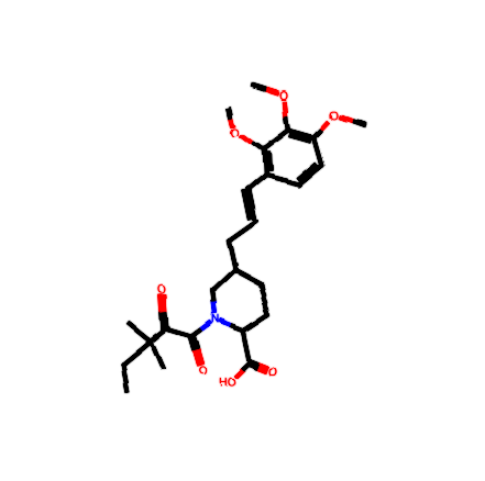 CCC(C)(C)C(=O)C(=O)N1CC(CC=Cc2ccc(OC)c(OC)c2OC)CCC1C(=O)O